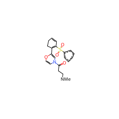 CNCCC(=O)N1C=COC(C2=C(S(=O)(=O)c3ccccc3)C=CCC2)=C1